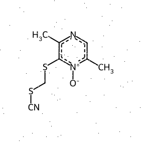 Cc1ncc(C)[n+]([O-])c1SCSC#N